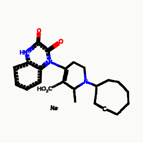 CC1C(C(=O)O)=C(n2c(=O)c(=O)[nH]c3ccccc32)CCN1C1CCCCCCC1.[Na]